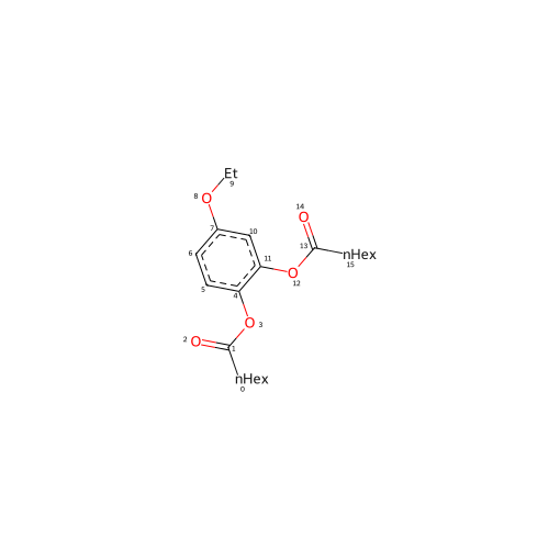 CCCCCCC(=O)Oc1ccc(OCC)cc1OC(=O)CCCCCC